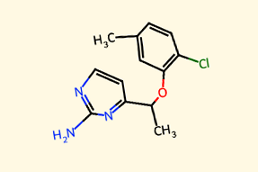 Cc1ccc(Cl)c(OC(C)c2ccnc(N)n2)c1